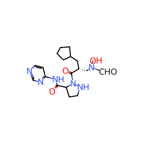 O=CN(O)C[C@@H](CC1CCCC1)C(=O)N1NCCC1C(=O)Nc1ccncn1